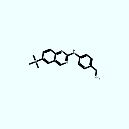 C[Si](C)(C)c1ccc2nc(Nc3ccc(CN)cc3)ncc2c1